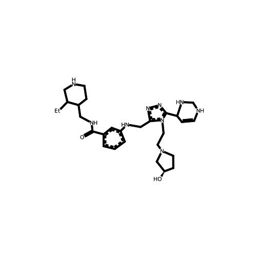 CCC1CNCCC1CNC(=O)c1cccc(NCc2nnc(C3C=CNCN3)n2CCN2CC[C@@H](O)C2)c1